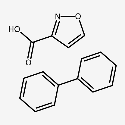 O=C(O)c1ccon1.c1ccc(-c2ccccc2)cc1